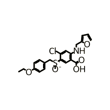 CCOc1ccc(C[S+]([O-])c2cc(C(=O)O)c(NCc3ccco3)cc2Cl)cc1